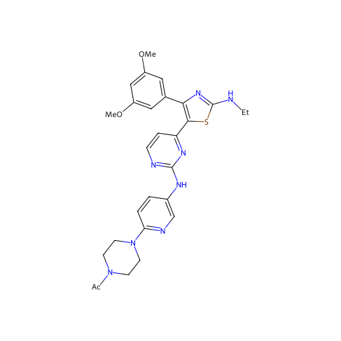 CCNc1nc(-c2cc(OC)cc(OC)c2)c(-c2ccnc(Nc3ccc(N4CCN(C(C)=O)CC4)nc3)n2)s1